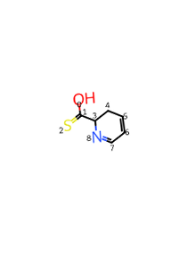 OC(=S)C1CC=CC=N1